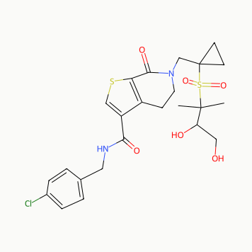 CC(C)(C(O)CO)S(=O)(=O)C1(CN2CCc3c(C(=O)NCc4ccc(Cl)cc4)csc3C2=O)CC1